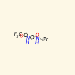 CC(C)CCNC(=O)c1ccc(Nc2cccc(OC(F)(F)F)c2)cc1